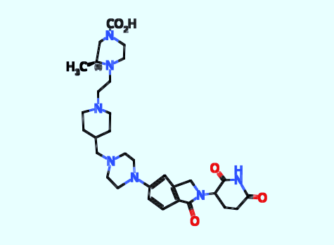 C[C@H]1CN(C(=O)O)CCN1CCN1CCC(CN2CCN(c3ccc4c(c3)CN(C3CCC(=O)NC3=O)C4=O)CC2)CC1